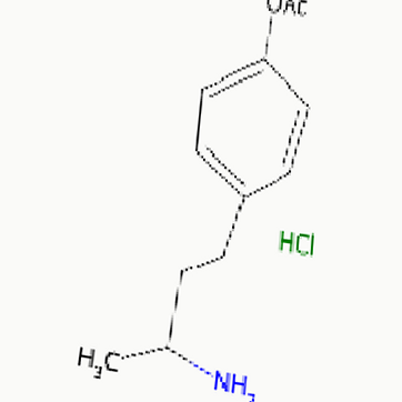 CC(=O)Oc1ccc(CCC(C)N)cc1.Cl